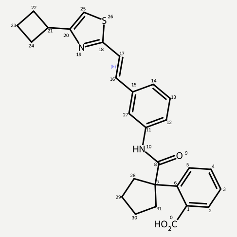 O=C(O)c1ccccc1C1(C(=O)Nc2cccc(/C=C/c3nc(C4CCC4)cs3)c2)CCCC1